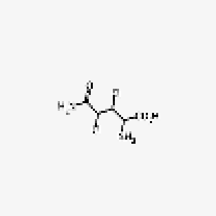 NC(=O)C(Cl)C(Cl)C(N)C(=O)O